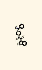 C/N=C(\c1ccccc1)N1CCN(C(=O)C(=O)c2c[nH]c3ccccc23)CC1